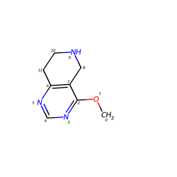 COc1ncnc2c1CNCC2